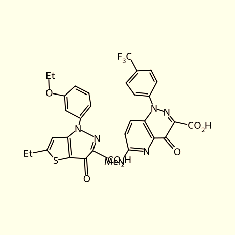 CCOc1cccc(-n2nc(C(=O)O)c(=O)c3sc(CC)cc32)c1.CNc1ccc2c(n1)c(=O)c(C(=O)O)nn2-c1ccc(C(F)(F)F)cc1